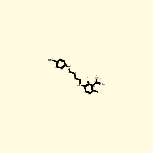 CC(C)(C)c1ccc(OCCCCOc2ccc(F)c(C(N)=O)c2F)cc1